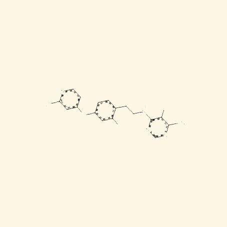 Cc1c(C#N)ncnc1NCCc1ccc(Oc2ccnc(C(F)(F)F)c2)cc1F